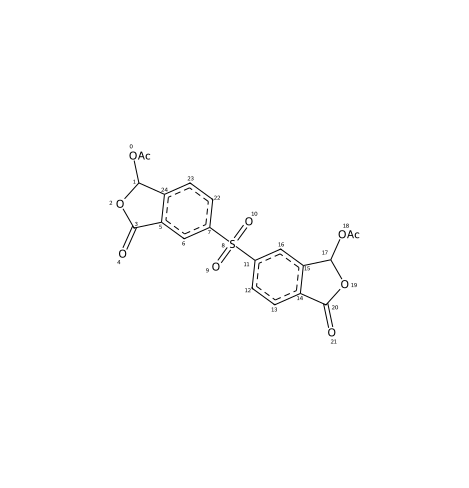 CC(=O)OC1OC(=O)c2cc(S(=O)(=O)c3ccc4c(c3)C(OC(C)=O)OC4=O)ccc21